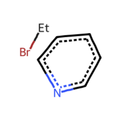 CCBr.c1ccncc1